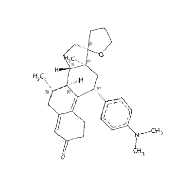 C[C@H]1CC2=CC(=O)CCC2=C2[C@@H]1[C@@H]1CC[C@@]3(CCCO3)[C@@]1(C)C[C@@H]2c1ccc(N(C)C)cc1